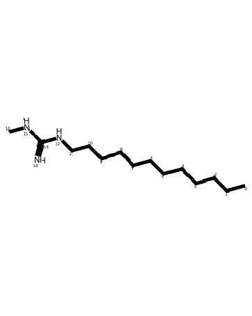 CCCCCCCCCCCCNC(=N)NC